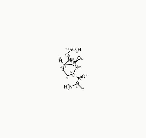 CN(N)C(=O)[C@@H]1CC[C@@H]2CN1C(=O)N2OS(=O)(=O)O